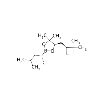 CC(C)C[C@@H](Cl)B1O[C@H](C[C@@H]2CCC2(C)C)C(C)(C)O1